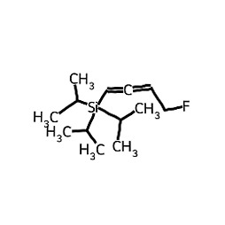 CC(C)[Si](C=C=CCF)(C(C)C)C(C)C